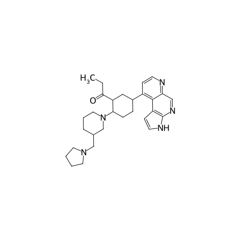 CCC(=O)C1CC(c2ccnc3cnc4[nH]ccc4c23)CCC1N1CCCC(CN2CCCC2)C1